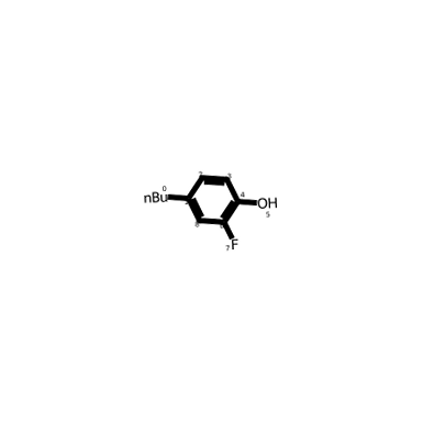 CCCCc1ccc(O)c(F)c1